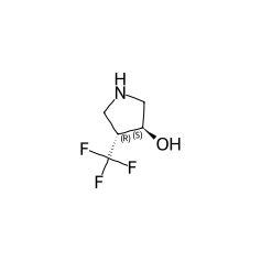 O[C@@H]1CNC[C@H]1C(F)(F)F